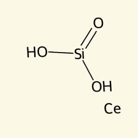 O=[Si](O)O.[Ce]